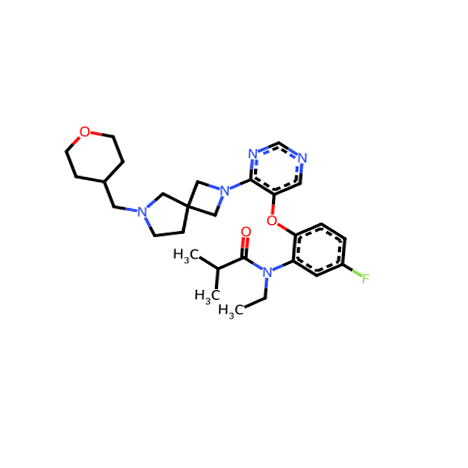 CCN(C(=O)C(C)C)c1cc(F)ccc1Oc1cncnc1N1CC2(CCN(CC3CCOCC3)C2)C1